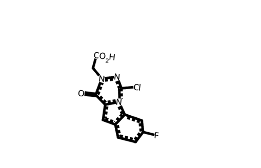 O=C(O)Cn1nc(Cl)n2c(cc3ccc(F)cc32)c1=O